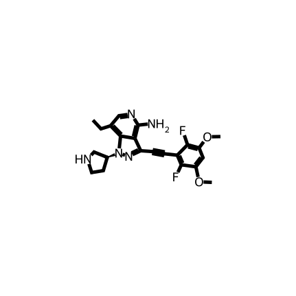 CCc1cnc(N)c2c(C#Cc3c(F)c(OC)cc(OC)c3F)nn([C@H]3CCNC3)c12